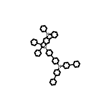 c1ccc(-c2ccc(N(c3ccc(-c4ccccc4)cc3)c3ccc(-c4ccc(-n5c(-c6ccccc6)c(-c6ccccc6)c6cc7c(cc65)c5ccccc5n7-c5ccccc5)cc4)cc3)cc2)cc1